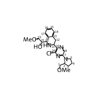 COCC1CCCN1c1cnc(C(Cc2ccccc2)NC[C@@H](O)COC)c(Cl)n1